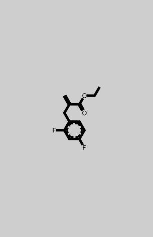 C=C(Cc1ccc(F)cc1F)C(=O)OCC